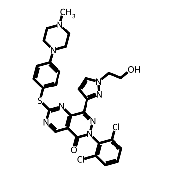 CN1CCN(c2ccc(Sc3ncc4c(=O)n(-c5c(Cl)cccc5Cl)nc(-c5ccn(CCO)n5)c4n3)cc2)CC1